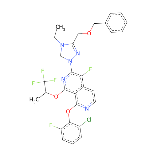 CCN1CN(c2nc(OC(C)C(F)(F)F)c3c(Oc4c(F)cccc4Cl)nccc3c2F)N=C1COCc1ccccc1